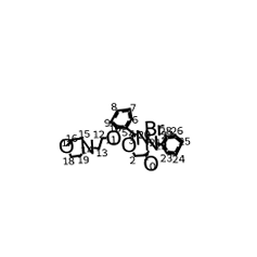 O=C1COC(c2ccccc2OCCN2CCOCC2)=NN1c1ccccc1Br